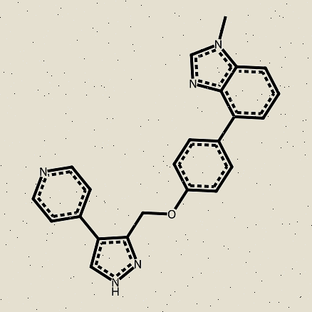 Cn1cnc2c(-c3ccc(OCc4n[nH]cc4-c4ccncc4)cc3)cccc21